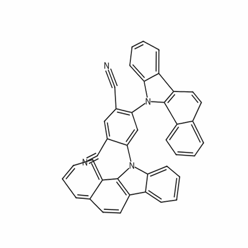 N#Cc1cc(C#N)c(-n2c3ccccc3c3ccc4ccccc4c32)cc1-n1c2ccccc2c2ccc3ccccc3c21